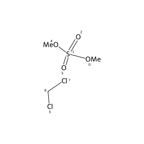 COS(=O)(=O)OC.ClCCl